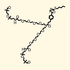 CCCCCSc1nnc(-c2ccc(CCC(=O)N(CCOCCOCCOCCOCCC(=O)NCCC(C)(C)OCCC(C)(C)C=O)CCOCCOCCOCCOCCC(=O)NCCC(C)(C)OCCC(C)(C)C=O)cc2)o1